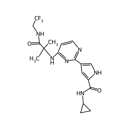 CC(C)(Nc1ccnc(-c2c[nH]c(C(=O)NC3CC3)c2)n1)C(=O)NCC(F)(F)F